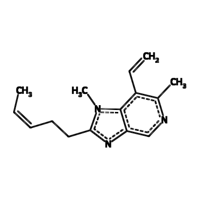 C=Cc1c(C)ncc2nc(CC/C=C\C)n(C)c12